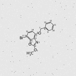 COc1nc2c(OCc3ccccc3)ccc(Br)c2o1